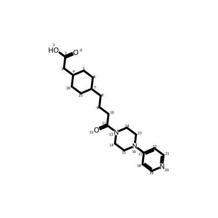 O=C(O)CC1CCC(CCCC(=O)N2CCN(c3ccncc3)CC2)CC1